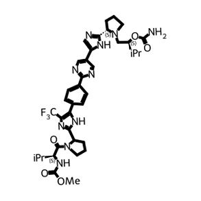 COC(=O)N[C@H](C(=O)N1CCCC1c1nc(C(F)(F)F)c(-c2ccc(-c3ncc(-c4cnc([C@@H]5CCCN5C[C@@H](OC(N)=O)C(C)C)[nH]4)cn3)cc2)[nH]1)C(C)C